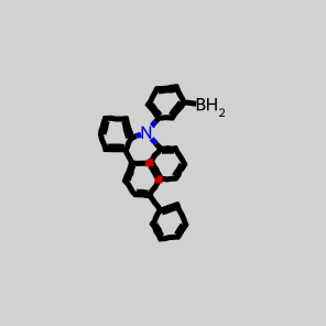 Bc1cccc(N(c2ccccc2)c2ccccc2-c2ccc(-c3ccccc3)cc2)c1